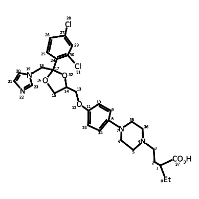 CCC(CCN1CCN(c2ccc(OCC3COC(Cn4ccnc4)(c4ccc(Cl)cc4Cl)O3)cc2)CC1)C(=O)O